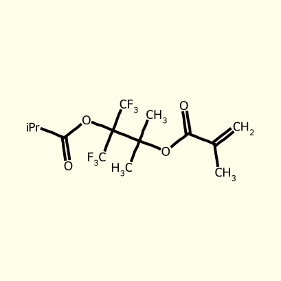 C=C(C)C(=O)OC(C)(C)C(OC(=O)C(C)C)(C(F)(F)F)C(F)(F)F